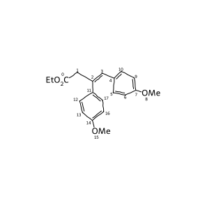 CCOC(=O)C/C(=C/c1ccc(OC)cc1)c1ccc(OC)cc1